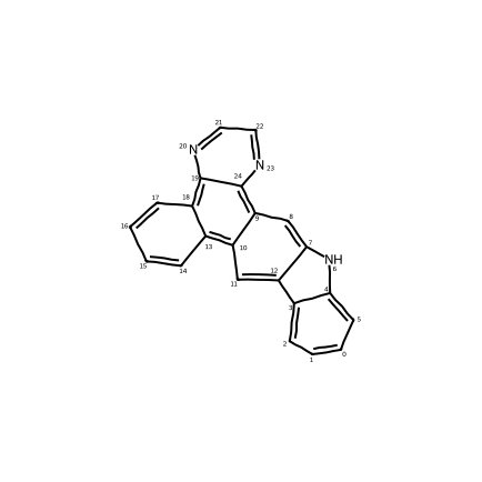 c1ccc2c(c1)[nH]c1cc3c(cc12)c1ccccc1c1nccnc31